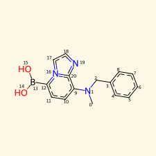 CN(Cc1ccccc1)c1ccc(B(O)O)n2ccnc12